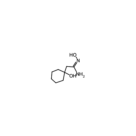 N/C(CC1(O)CCCCC1)=N/O